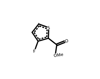 COC(=O)c1s[c]cc1F